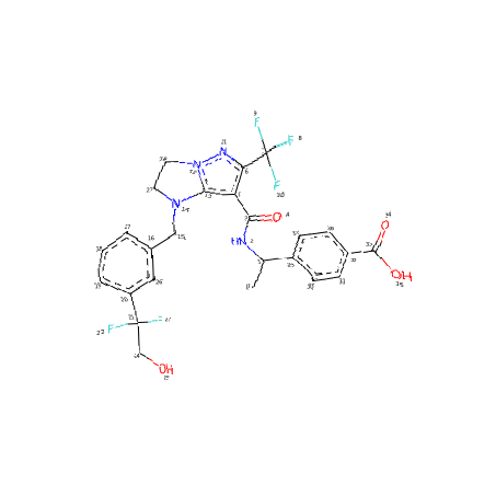 CC(NC(=O)c1c(C(F)(F)F)nn2c1N(Cc1cccc(C(F)(F)CO)c1)CC2)c1ccc(C(=O)O)cc1